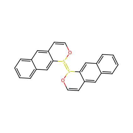 C1=Cc2cc3ccccc3cc2S(=S2OC=Cc3cc4ccccc4cc32)O1